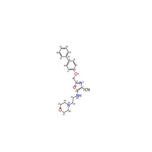 N#Cc1nc(COc2ccc(-c3ccccc3)cc2)oc1NCCN1CCOCC1